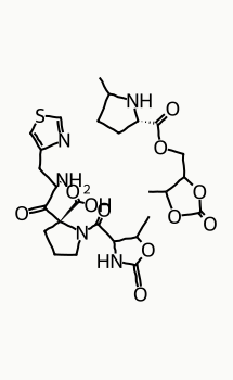 CC1CC[C@@H](C(=O)OCC2OC(=O)OC2C)N1.CC1OC(=O)NC1C(=O)N1CCC[C@]1(C(=O)O)C(=O)[C@@H](N)Cc1cscn1